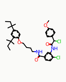 CCC(C)(C)c1ccc(OCCCCNC(=O)c2ccc(Cl)c(NC(=O)C(Cl)c3ccc(OC)cc3)c2)c(C(C)(C)CC)c1